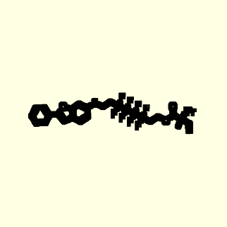 C=CC(C)(C(=O)OCCC(F)(F)C(F)(F)C(F)(F)C(F)(F)CCSc1ccc2cc(-c3ccccc3)oc2c1)C(C)C